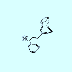 N#CC(CCc1cccc(C(F)(F)F)c1)c1ccccc1